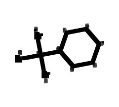 BrC(Br)(Br)C1CCCCC1